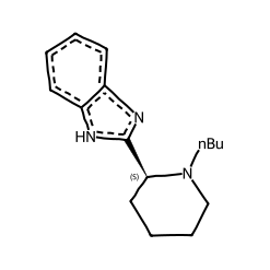 CCCCN1CCCC[C@H]1c1nc2ccccc2[nH]1